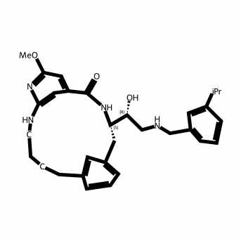 COc1cc2cc(n1)NCCCCc1cccc(c1)C[C@@H]([C@H](O)CNCc1cccc(C(C)C)c1)NC2=O